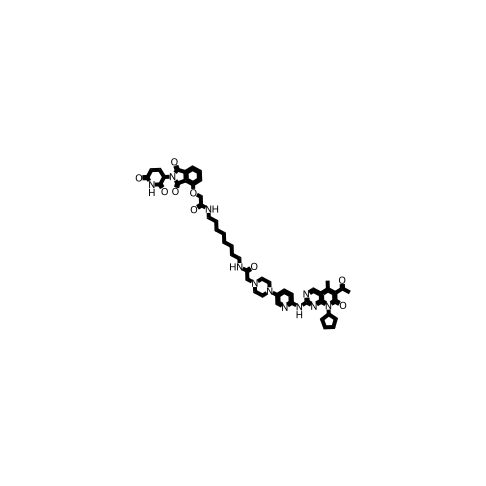 CC(=O)c1c(C)c2cnc(Nc3ccc(N4CCN(CC(=O)NCCCCCCCCNC(=O)COc5cccc6c5C(=O)N(C5CCC(=O)NC5=O)C6=O)CC4)cn3)nc2n(C2CCCC2)c1=O